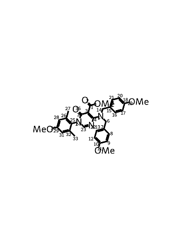 COC(=O)c1c(N(Cc2ccc(OC)cc2)Cc2ccc(OC)cc2)ncn(-c2c(C)cc(OC)cc2C)c1=O